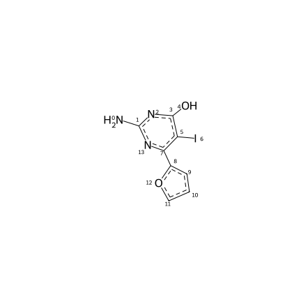 Nc1nc(O)c(I)c(-c2ccco2)n1